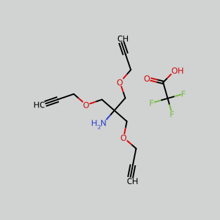 C#CCOCC(N)(COCC#C)COCC#C.O=C(O)C(F)(F)F